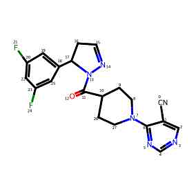 N#Cc1cncnc1N1CCC(C(=O)N2N=CCC2c2cc(F)cc(F)c2)CC1